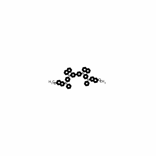 COc1ccc2cc(N(c3ccccc3)c3ccc(N(c4ccc(-c5ccc(N(c6ccc(N(c7ccccc7)c7ccc8cc(OC)ccc8c7)cc6)c6cccc7ccccc67)cc5)cc4)c4cccc5ccccc45)cc3)ccc2c1